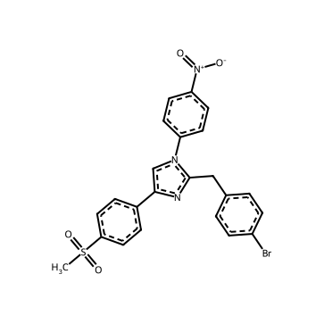 CS(=O)(=O)c1ccc(-c2cn(-c3ccc([N+](=O)[O-])cc3)c(Cc3ccc(Br)cc3)n2)cc1